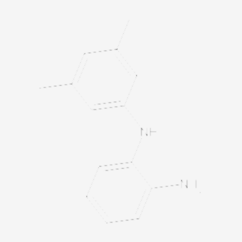 Cc1cc(C)cc(Nc2ccccc2N)c1